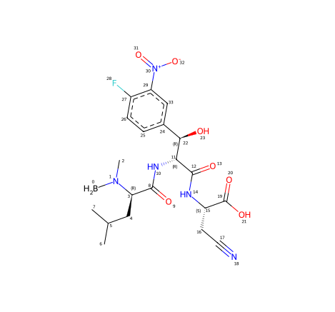 BN(C)[C@H](CC(C)C)C(=O)N[C@@H](C(=O)N[C@@H](CC#N)C(=O)O)[C@H](O)c1ccc(F)c([N+](=O)[O-])c1